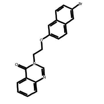 O=c1c2ccccc2ncn1CCOc1ccc2cc(Br)ccc2c1